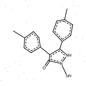 CCCn1[nH]c(-c2ccc(C)cc2)c(-c2ccc(C)cc2)c1=O